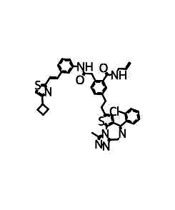 C=CCNC(=O)c1cc(CCc2cc3c(s2)-n2c(C)nnc2CN=C3c2ccccc2Cl)ccc1CC(=O)Nc1cccc(C=Cc2nc(C3CCC3)cs2)c1